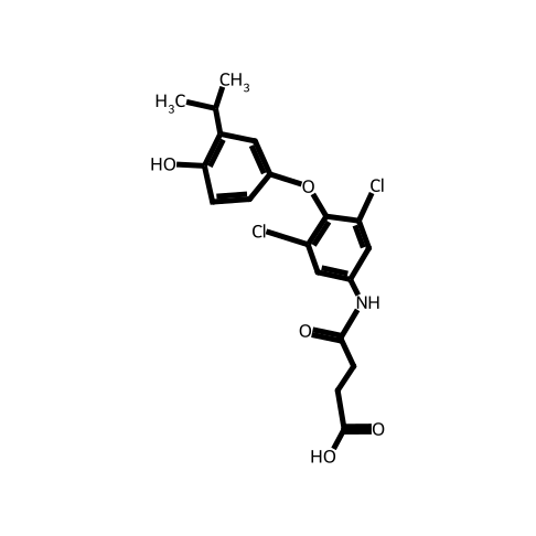 CC(C)c1cc(Oc2c(Cl)cc(NC(=O)CCC(=O)O)cc2Cl)ccc1O